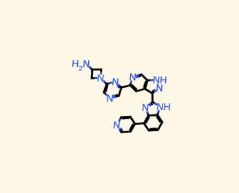 NC1CN(c2cncc(-c3cc4c(-c5nc6c(-c7ccncc7)cccc6[nH]5)n[nH]c4cn3)n2)C1